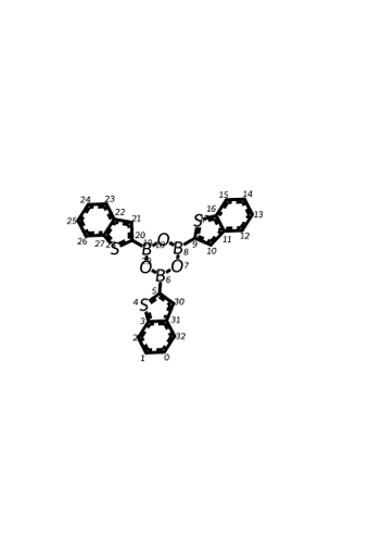 c1ccc2sc(B3OB(c4cc5ccccc5s4)OB(c4cc5ccccc5s4)O3)cc2c1